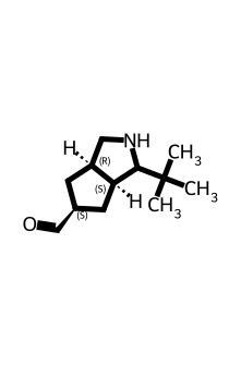 CC(C)(C)C1NC[C@@H]2C[C@H](C=O)C[C@H]12